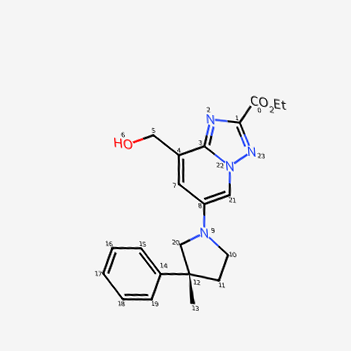 CCOC(=O)c1nc2c(CO)cc(N3CC[C@](C)(c4ccccc4)C3)cn2n1